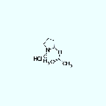 CC(=O)OC1CCCN1C.Cl